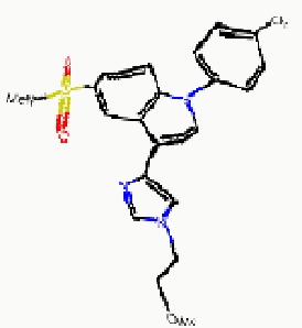 CNS(=O)(=O)c1ccc2c(c1)c(-c1cn(CCOC)cn1)cn2-c1ccc(C(F)(F)F)cc1